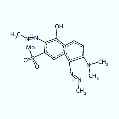 C/N=N/c1c([S](=O)(=O)[Mo])cc2c(/N=N/C)c(N(C)C)ccc2c1O